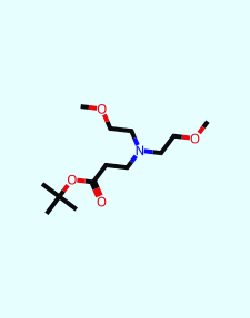 COCCN(CCOC)CCC(=O)OC(C)(C)C